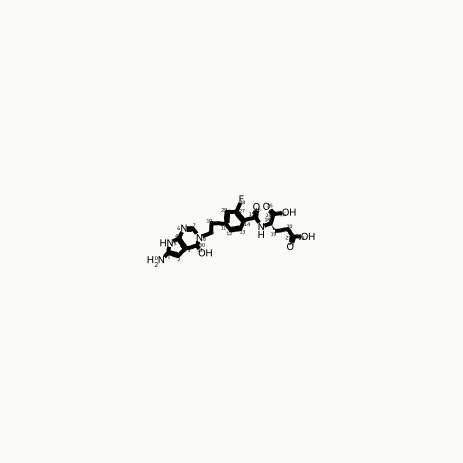 Nc1cc2c([nH]1)N=CN(CCc1ccc(C(=O)N[C@@H](CCC(=O)O)C(=O)O)c(F)c1)C2O